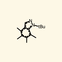 Cc1c(C)c(C)c2c(cnn2C(C)(C)C)c1C